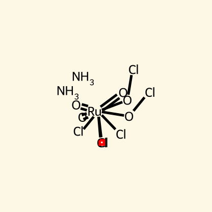 N.N.[O]=[Ru](=[O])(=[O])([Cl])([Cl])([Cl])([Cl])([O]Cl)[O]Cl